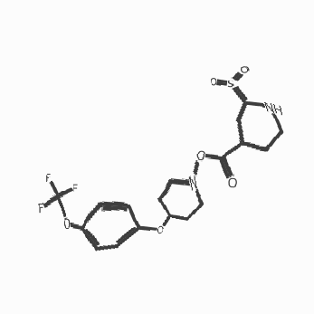 O=C(ON1CCC(Oc2ccc(OC(F)(F)F)cc2)CC1)C1CCNC(=S(=O)=O)C1